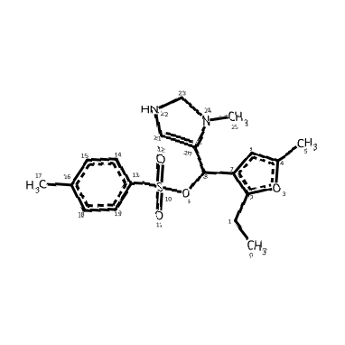 CCc1oc(C)cc1C(OS(=O)(=O)c1ccc(C)cc1)C1=CNCN1C